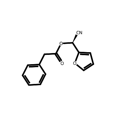 N#C[C@H](OC(=O)Cc1ccccc1)c1ccco1